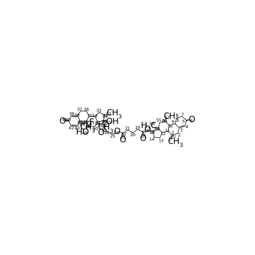 C[C@@H]1CC2=CC(=O)CCC2C2C1C1CC[C@H](OC(=O)CCCC(=O)OCC3OC3[C@@]3(O)[C@@H](C)CC4C5CCC6=CC(=O)C=C[C@]6(C)[C@@]5(F)[C@@H](O)C[C@@]43C)[C@@]1(C)C[C@@H]2C